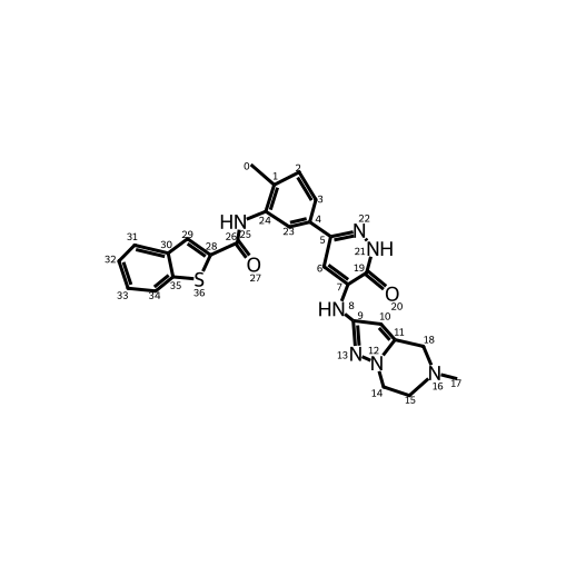 Cc1ccc(-c2cc(Nc3cc4n(n3)CCN(C)C4)c(=O)[nH]n2)cc1NC(=O)c1cc2ccccc2s1